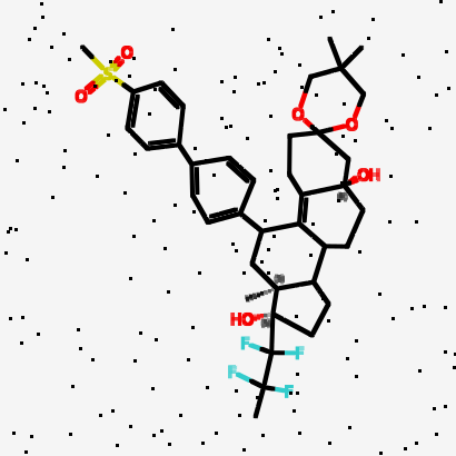 CC1(C)COC2(CCC3=C4C(c5ccc(-c6ccc(S(C)(=O)=O)cc6)cc5)C[C@@]5(C)C(CC[C@@]5(O)C(F)(F)C(C)(F)F)C4CC[C@@]3(O)C2)OC1